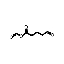 O=CCCCC(=O)OC=O